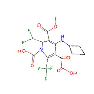 COC(=O)C1=C(NC2CCC2)C(C(=O)C(=O)O)=C(C(F)(F)F)N(C(=O)O)C1C(F)F